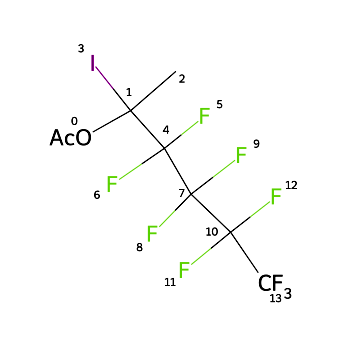 CC(=O)OC(C)(I)C(F)(F)C(F)(F)C(F)(F)C(F)(F)F